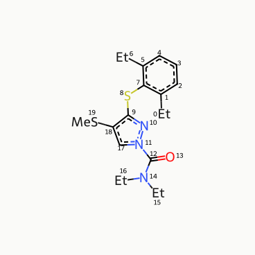 CCc1cccc(CC)c1Sc1nn(C(=O)N(CC)CC)cc1SC